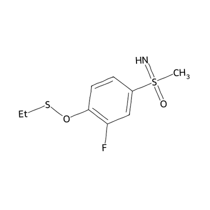 CCSOc1ccc(S(C)(=N)=O)cc1F